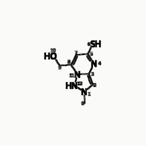 CN1C=C2N=C(S)C=C(CO)N2N1